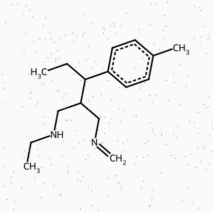 C=NCC(CNCC)C(CC)c1ccc(C)cc1